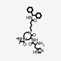 CN[C@H](C)C(=O)N1CCCN(CCCCC(=O)NC(c2ccccc2)c2ccccc2)C(=O)[C@@H](NC(=O)C(N)Cc2cnc[nH]2)C1